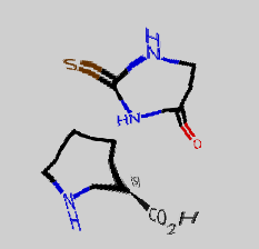 O=C(O)[C@@H]1CCCN1.O=C1CNC(=S)N1